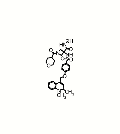 CC1C=C(COc2ccc(S(=O)(=O)NC3(C(=O)NO)CN(C(=O)C4CCOCC4)C3)cc2)c2ccccc2N1C